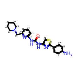 Nc1ccc(-c2nc(NC(=O)Nc3cccc(CN4CCCCC4)n3)cs2)cc1